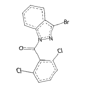 O=C(c1c(Cl)cccc1Cl)n1nc(Br)c2ccccc21